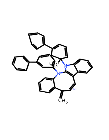 C=C1/C=C\c2c(n(C3(C)C=CC=C(c4ccccc4)C3)c3ccccc23)N(c2cccc(-c3ccccc3)c2)c2ccccc21